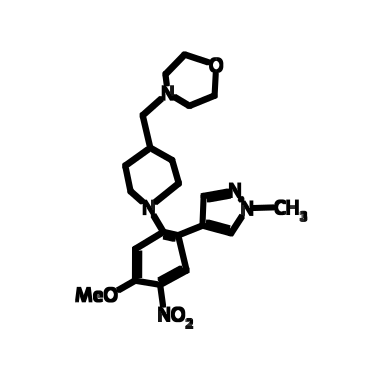 COc1cc(N2CCC(CN3CCOCC3)CC2)c(-c2cnn(C)c2)cc1[N+](=O)[O-]